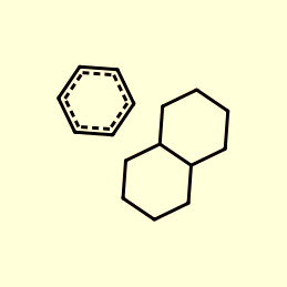 C1CCC2CCCCC2C1.c1ccccc1